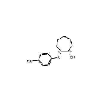 CC(C)(C)c1ccc(S[C@@H]2CCCCC[C@@H]2O)cc1